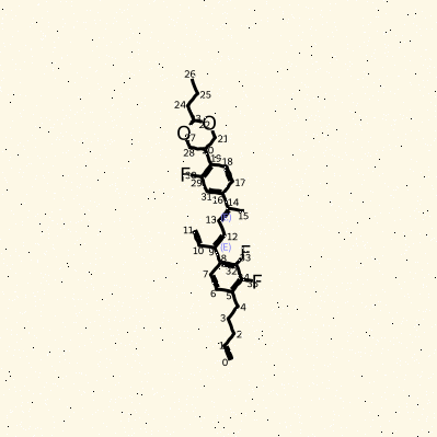 C=CCCCc1ccc(/C(C=C)=C/C=C(\C)c2ccc(C3COC(CCC)OC3)c(F)c2)c(F)c1F